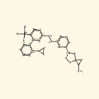 CC1CC12CCN(c1cccc(SNc3ccc(C(F)(F)F)c(-c4ccccc4C4CC4)n3)n1)C2